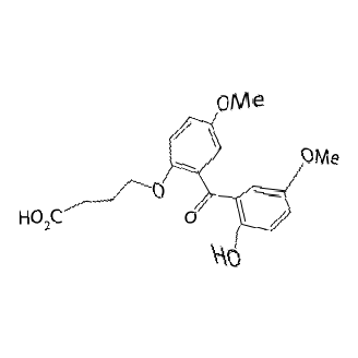 COc1ccc(O)c(C(=O)c2cc(OC)ccc2OCCCC(=O)O)c1